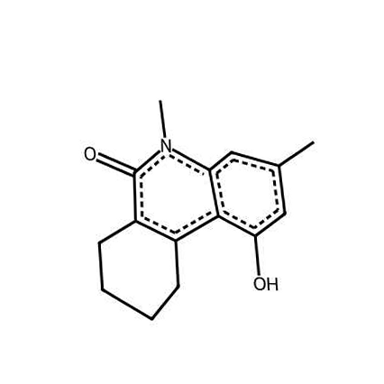 Cc1cc(O)c2c3c(c(=O)n(C)c2c1)CCCC3